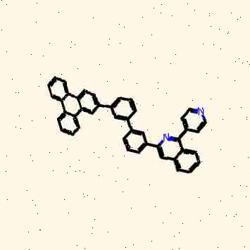 c1cc(-c2cccc(-c3cc4ccccc4c(-c4ccncc4)n3)c2)cc(-c2ccc3c4ccccc4c4ccccc4c3c2)c1